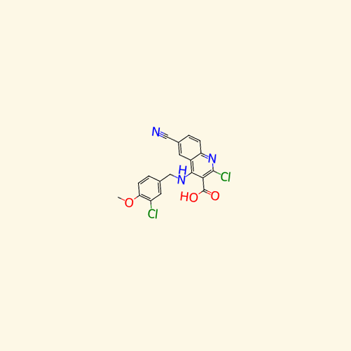 COc1ccc(CNc2c(C(=O)O)c(Cl)nc3ccc(C#N)cc23)cc1Cl